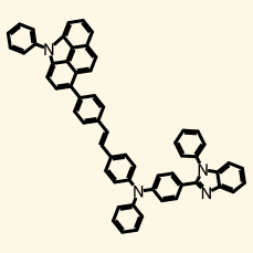 C(=C\c1ccc(N(c2ccccc2)c2ccc(-c3nc4ccccc4n3-c3ccccc3)cc2)cc1)/c1ccc(-c2ccc3c4c2ccc2cccc(c24)n3-c2ccccc2)cc1